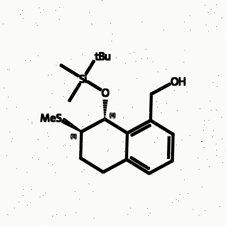 CS[C@@H]1CCc2cccc(CO)c2[C@H]1O[Si](C)(C)C(C)(C)C